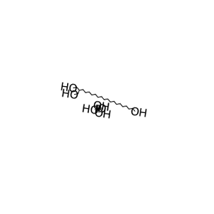 O=P(O)(O)O.OCCCCCCCCCCCCCCCCCC(CO)CO